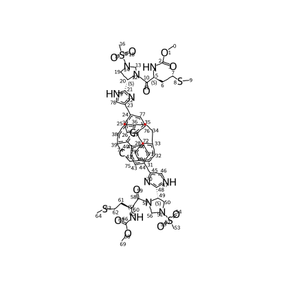 COC(=O)N[C@@H](CCSC)C(=O)N1CN(S(C)(=O)=O)C[C@H]1c1nc(-c2ccc(-c3cc4ccc3CCc3ccc(c(-c5ccc(-c6c[nH]c([C@@H]7CN(S(C)(=O)=O)CN7C(=O)[C@H](CCSC)NC(=O)OC)n6)cc5)c3)CC4)cc2)c[nH]1